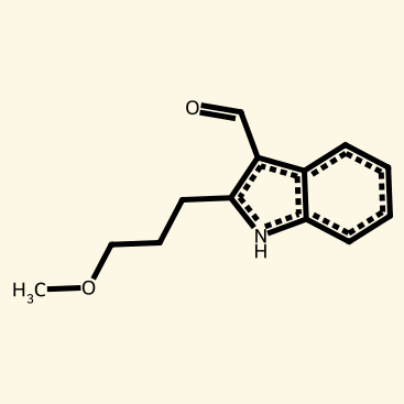 COCCCc1[nH]c2ccccc2c1C=O